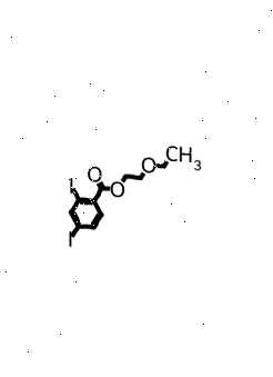 CCOCCOC(=O)c1ccc(I)cc1I